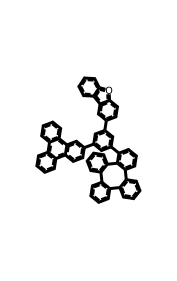 c1ccc2c(c1)-c1ccccc1-c1cccc(-c3cc(-c4ccc5oc6ccccc6c5c4)cc(-c4ccc5c6ccccc6c6ccccc6c5c4)c3)c1-c1ccccc1-2